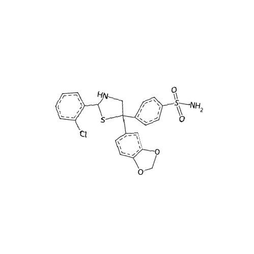 NS(=O)(=O)c1ccc(C2(c3ccc4c(c3)OCO4)CNC(c3ccccc3Cl)S2)cc1